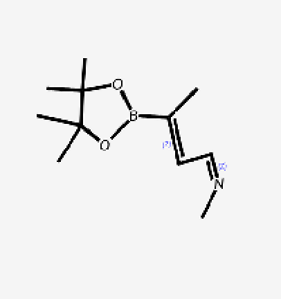 C/N=C\C=C(/C)B1OC(C)(C)C(C)(C)O1